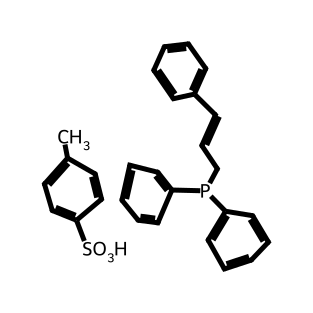 C(=Cc1ccccc1)CP(c1ccccc1)c1ccccc1.Cc1ccc(S(=O)(=O)O)cc1